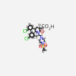 CC[C@@H](CN1CCN(S(=O)(=O)C2CC2)CC1)N1C(=O)[C@@](C)(CC(=O)O)C[C@H](c2cccc(Cl)c2)[C@H]1c1ccc(Cl)cc1